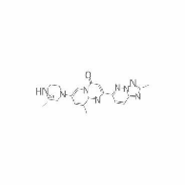 Cc1nc2ccc(-c3cc(=O)n4cc(N5CCN[C@@H](C)C5)cc(C)c4n3)nn2n1